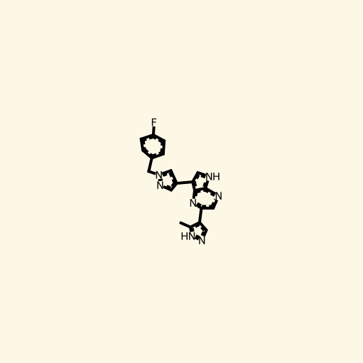 Cc1[nH]ncc1-c1cnc2[nH]cc(-c3cnn(Cc4ccc(F)cc4)c3)c2n1